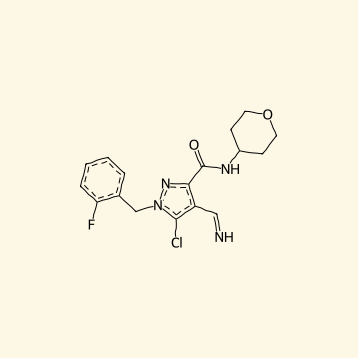 N=Cc1c(C(=O)NC2CCOCC2)nn(Cc2ccccc2F)c1Cl